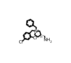 NC[C@@H]1CC[N+](Cc2ccccc2)(Cc2ccc(Cl)cc2Cl)C1